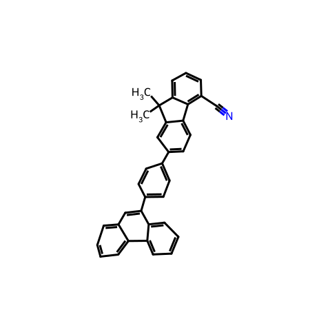 CC1(C)c2cc(-c3ccc(-c4cc5ccccc5c5ccccc45)cc3)ccc2-c2c(C#N)cccc21